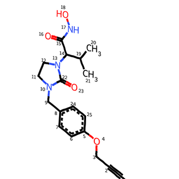 CC#CCOc1ccc(CN2CCN(C(C(=O)NO)C(C)C)C2=O)cc1